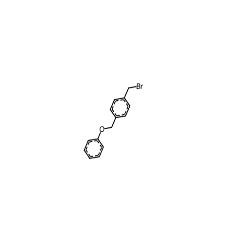 BrCc1ccc(COc2ccccc2)cc1